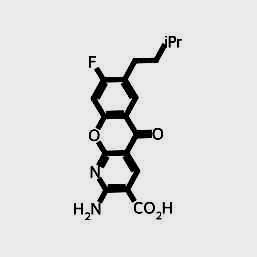 CC(C)CCc1cc2c(=O)c3cc(C(=O)O)c(N)nc3oc2cc1F